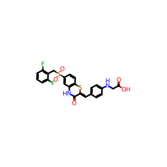 O=C(O)CNc1ccc(C=C2Sc3ccc(S(=O)(=O)Cc4c(F)cccc4F)cc3NC2=O)cc1